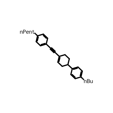 CCCCCc1ccc(C#CC2=CCC(c3ccc(CCCC)cc3)CC2)cc1